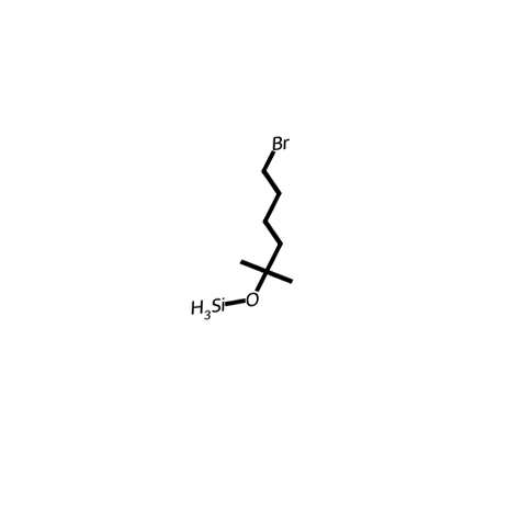 CC(C)(CCCCBr)O[SiH3]